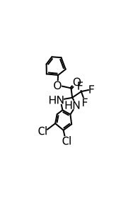 O=C(Oc1ccccc1)C1(C(F)(F)F)Nc2cc(Cl)c(Cl)cc2N1